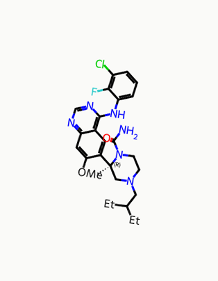 CCC(CC)CN1CCN(C(N)=O)[C@](C)(c2cc3c(Nc4cccc(Cl)c4F)ncnc3cc2OC)C1